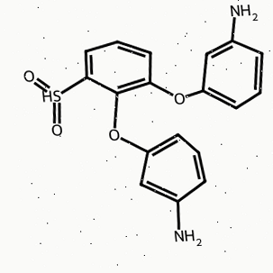 Nc1cccc(Oc2cccc([SH](=O)=O)c2Oc2cccc(N)c2)c1